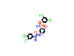 COc1ccc(NC(=O)Nc2ccc(Cl)c(Cl)c2)cc1NS(=O)(=O)c1cc(Cl)cc(Cl)c1